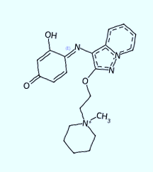 C[N+]1(CCOc2nn3ccccc3c2/N=C2\C=CC(=O)C=C2O)CCCCC1